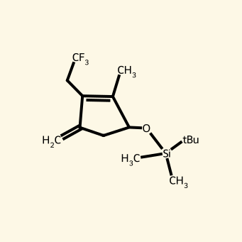 C=C1CC(O[Si](C)(C)C(C)(C)C)C(C)=C1CC(F)(F)F